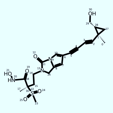 C[C@@]1(C#CC#Cc2cc3n(c2)C(=O)N(CC[C@](C)(C(=O)NO)S(C)(=O)=O)C3)C[C@H]1CO